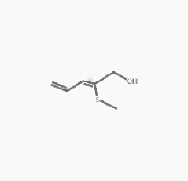 C=C/C=C(/CO)SC